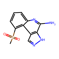 CS(=O)(=O)c1cccc2nc(N)c3[nH]ncc3c12